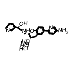 Cl.Cl.Cl.Cl.Nc1ccc(-c2ccc3c(c2)CC[C@H](CNC[C@H](O)c2cccnc2)O3)nc1